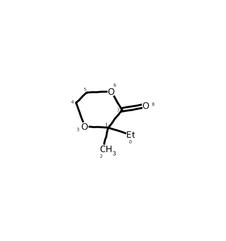 CCC1(C)OCCOC1=O